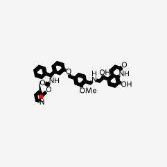 COc1cc(COc2cccc([C@@H](NC(=O)OC3CN4CCC3CC4)c3ccccc3)c2)ccc1CNCC(O)c1ccc(O)c2[nH]c(=O)ccc12